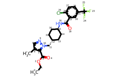 CCOC(=O)c1c(C)cnn1C[C@H]1CC[C@H](NC(=O)c2cc(C(F)(F)F)ccc2Cl)CC1